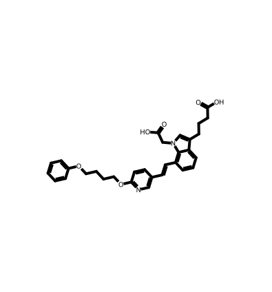 O=C(O)CCCc1cn(CC(=O)O)c2c(C=Cc3ccc(OCCCCOc4ccccc4)nc3)cccc12